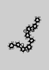 C1=CC2Oc3c(ccc4oc5ccc(-c6cccc(-c7ccc8oc9ccc%10c%11cc(-c%12ccccc%12)ccc%11oc%10c9c8c7)c6)cc5c34)C2C=C1c1ccccc1